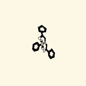 O=C(CN(CC(=O)c1ccccc1)S(=O)(=O)c1ccccc1)c1ccccc1